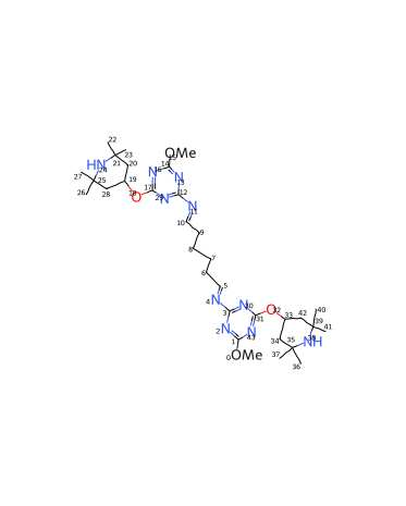 COc1nc(N=CCCCCC=Nc2nc(OC)nc(OC3CC(C)(C)NC(C)(C)C3)n2)nc(OC2CC(C)(C)NC(C)(C)C2)n1